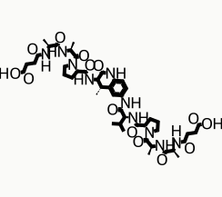 CC(C)[C@H](NC(=O)C1CCCN1C(=O)[C@H](C)NC(=O)[C@H](C)NC(=O)CCC(=O)O)C(=O)Nc1ccc2c(c1)[C@H](C)C(NC(=O)C1CCCN1C(=O)[C@H](C)NC(=O)[C@H](C)NC(=O)CCC(=O)O)C(=O)N2